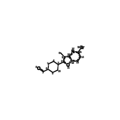 Cc1c(C2CCC(C=O)CC2)oc2ccc(Br)nc12